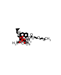 COCCOCCOC(=O)Oc1ccc2c(c1O)[C@]13CCN(CC4CC4)[C@H](C2)[C@]12CC[C@](OC)([C@@H]([C@](C)(O)C(C)(C)C)C2)[C@@H]3C